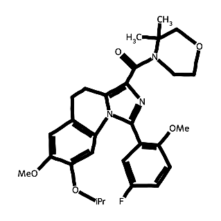 COc1cc2c(cc1OC(C)C)-n1c(-c3cc(F)ccc3OC)nc(C(=O)N3CCOCC3(C)C)c1CC2